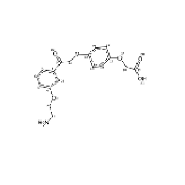 NCCOc1cccc(C(=O)CCc2ccc(OCC(=O)O)cc2)c1